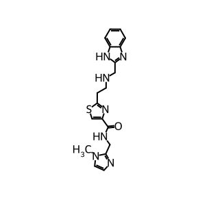 Cn1ccnc1CNC(=O)c1csc(CCNCc2nc3ccccc3[nH]2)n1